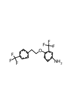 Nc1ccc(OCCc2ccc(C(F)(F)F)cc2)c(C(F)(F)F)c1